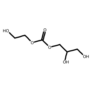 O=C(OCCO)OCC(O)CO